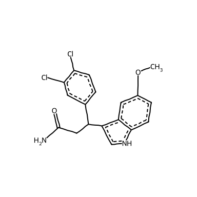 COc1ccc2[nH]cc(C(CC(N)=O)c3ccc(Cl)c(Cl)c3)c2c1